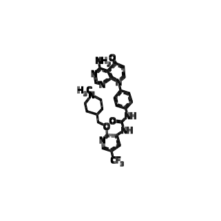 CN1CCC(COc2ncc(C(F)(F)F)cc2NC(=O)Nc2ccc(-n3ccc(=O)c4c(N)ncnc43)cc2)CC1